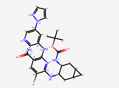 CC(C)(C)OC(=O)N[C@H]1CC2CC2C[C@H]1Nc1nc(Nc2cncc(-n3cccn3)c2)c(C(N)=O)cc1F